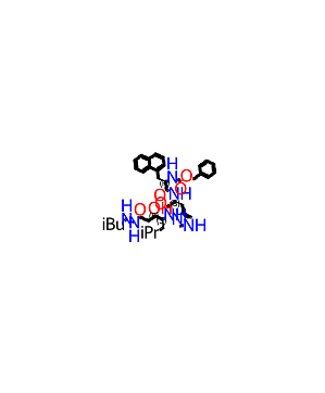 CCC(C)NNC(=O)C[C@H](O)[C@H](CC(C)C)NC(=O)[C@H](Cc1c[nH]cn1)NC(=O)[C@@H](Cc1cccc2ccccc12)NC(=O)OCc1ccccc1